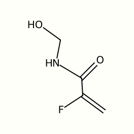 C=C(F)C(=O)NCO